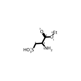 CCOC(=O)C(N)CS(=O)(=O)O